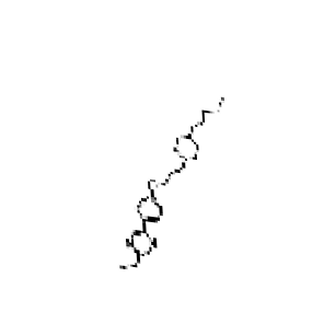 CCCCCC1CCC(CCCOc2ccc(-c3cnc(CC)cn3)cc2)CC1